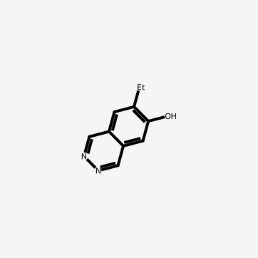 CCc1cc2cnncc2cc1O